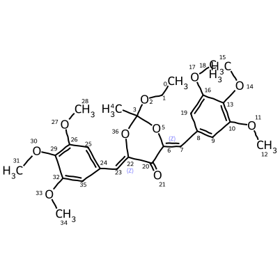 CCOC1(C)O/C(=C\c2cc(OC)c(OC)c(OC)c2)C(=O)/C(=C/c2cc(OC)c(OC)c(OC)c2)O1